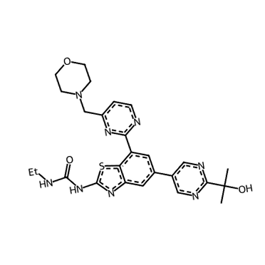 CCNC(=O)Nc1nc2cc(-c3cnc(C(C)(C)O)nc3)cc(-c3nccc(CN4CCOCC4)n3)c2s1